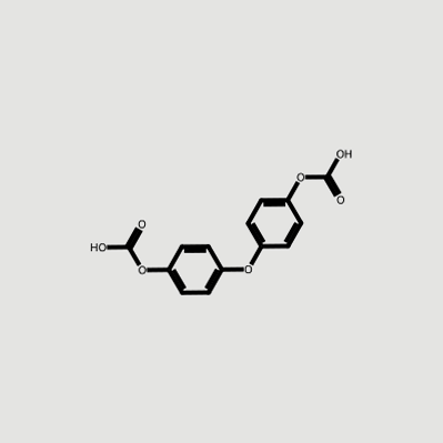 O=C(O)Oc1ccc(Oc2ccc(OC(=O)O)cc2)cc1